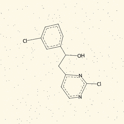 OC(Cc1ccnc(Cl)n1)c1cccc(Cl)c1